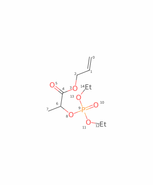 C=CCOC(=O)C(C)OP(=O)(OCC)OCC